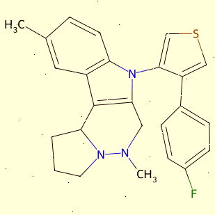 Cc1ccc2c(c1)c1c(n2-c2cscc2-c2ccc(F)cc2)CN(C)N2CCCC12